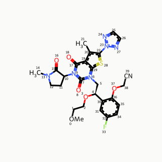 COCCO[C@@H](Cn1c(=O)n(C2CCN(C)C2=O)c(=O)c2c(C)c(-n3nccn3)sc21)c1cc(F)ccc1OCC#N